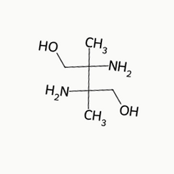 CC(N)(CO)C(C)(N)CO